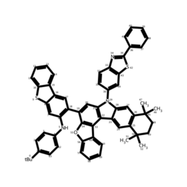 CC(C)(C)c1ccc(Nc2cc3sc4ccccc4c3cc2-c2cc3c(c4cc5c(cc4n3-c3ccc4nc(-c6ccccc6)sc4c3)C(C)(C)CCC5(C)C)c3c2oc2ccccc23)cc1